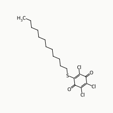 CCCCCCCCCCCCSC1=C(Cl)C(=O)C(Cl)=C(Cl)C1=O